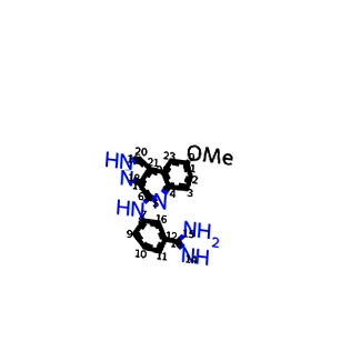 COc1ccc2nc(Nc3cccc(C(=N)N)c3)c3n[nH]cc3c2c1